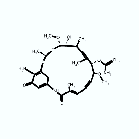 C=C(N)O[C@H]1/C(C)=C/C(C)[C@@H](O)[C@@H](OC)C[C@H](C)CC2=C(N)C(=O)C=C(C2)NC(=O)/C(C)=C/C=C\[C@@H]1OC